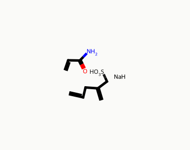 C=CC(N)=O.C=CCC(=C)CS(=O)(=O)O.[NaH]